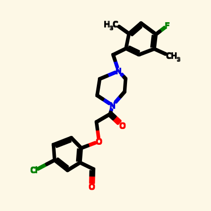 Cc1cc(CN2CCN(C(=O)COc3ccc(Cl)cc3C=O)CC2)c(C)cc1F